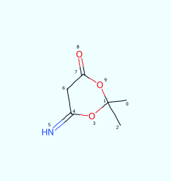 CC1(C)OC(=N)CC(=O)O1